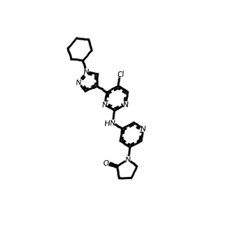 O=C1CCCN1c1cncc(Nc2ncc(Cl)c(-c3cnn(C4CCCCC4)c3)n2)c1